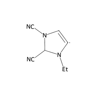 CCN1[C]=CN(C#N)C1C#N